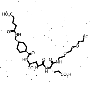 CC(=O)CCOCCOCCNC(=O)[C@H](CCC(=O)O)NC(=O)CC[C@H](NC(=O)[C@H]1CC[C@@H](CNC(=O)CCCC(=O)O)CC1)C(=O)O